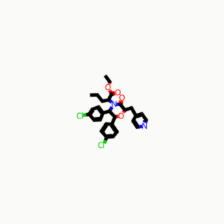 CCCC(C(=O)OCC)N1C(=O)C(Cc2ccncc2)OC(c2ccc(Cl)cc2)C1c1ccc(Cl)cc1